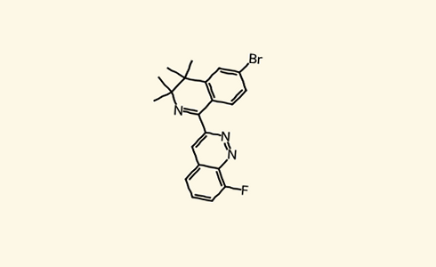 CC1(C)N=C(c2cc3cccc(F)c3nn2)c2ccc(Br)cc2C1(C)C